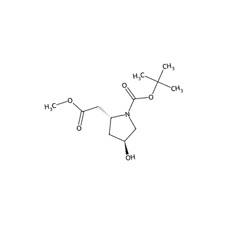 COC(=O)C[C@H]1C[C@H](O)CN1C(=O)OC(C)(C)C